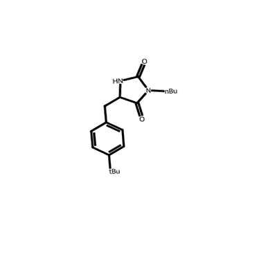 CCCCN1C(=O)NC(Cc2ccc(C(C)(C)C)cc2)C1=O